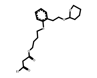 CCC(=O)CC(=O)OCCCCSc1ccccc1CCOC1CCCCO1